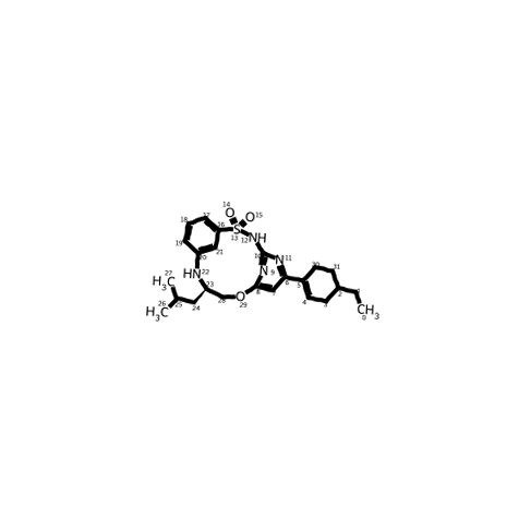 CCC1CC=C(c2cc3nc(n2)NS(=O)(=O)c2cccc(c2)N[C@H](CC(C)C)CO3)CC1